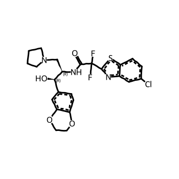 O=C(N[C@H](CN1CCCC1)[C@H](O)c1ccc2c(c1)OCCO2)C(F)(F)c1nc2cc(Cl)ccc2s1